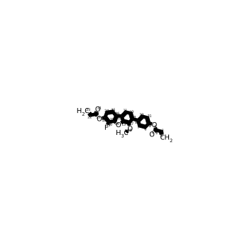 C=CC(=O)Oc1ccc(-c2ccc3c(oc4c(F)c(OC(=O)C=C)ccc43)c2OC)cc1